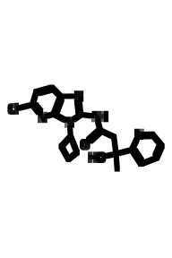 CC(O)(CC(=O)Nc1nc2ccc(Cl)nc2n1C1CCC1)c1ccccn1